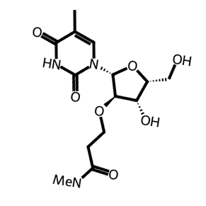 CNC(=O)CCO[C@@H]1[C@@H](O)[C@@H](CO)O[C@H]1n1cc(C)c(=O)[nH]c1=O